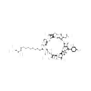 CCC(C)CC(C)CCCCCCCCC(=O)N[C@H]1C[C@@H](O)[C@@H](O)NC(=O)[C@@H]2[C@@H](O)CCN2C(=O)[C@H]([C@H](O)CN)NC(=O)[C@H]([C@H](O)[C@@H](O)c2ccc(O)cc2)NC(=O)[C@@H]2C[C@@H](O)CN2C(=O)[C@H]([C@@H](C)O)NC1=O